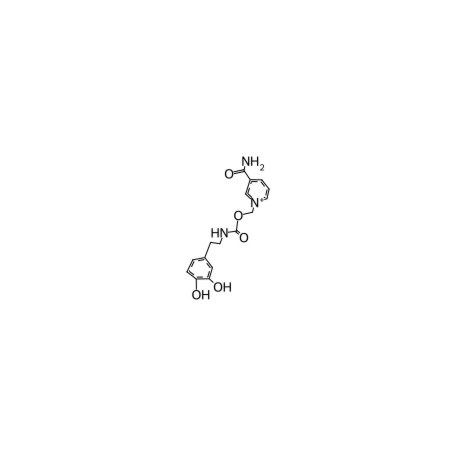 NC(=O)c1ccc[n+](COC(=O)NCCc2ccc(O)c(O)c2)c1